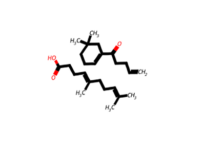 C=CCCC(=O)C1=CCCC(C)(C)C1.CC(C)=CCC/C(C)=C/CCC(=O)O